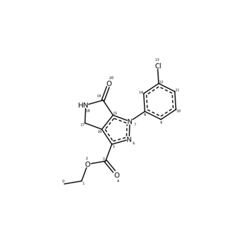 CCOC(=O)c1nn(-c2cccc(Cl)c2)c2c1CNC2=O